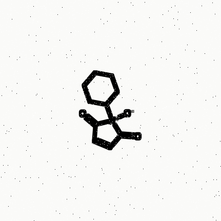 O=C1C=CC(=O)[N+]1([O-])C1CCCCC1